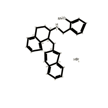 Br.COc1ccccc1CNC1CCc2ccccc2C1Cc1ccc2ccccc2c1